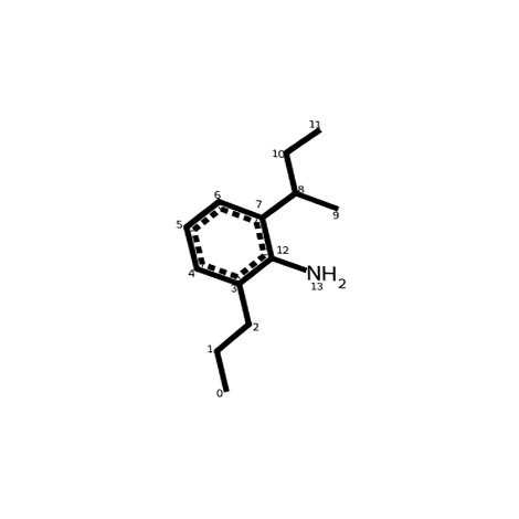 CCCc1cccc(C(C)CC)c1N